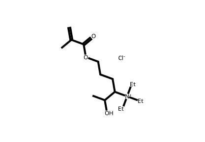 C=C(C)C(=O)OCCCC(C(C)O)[N+](CC)(CC)CC.[Cl-]